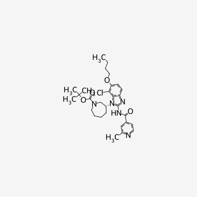 CCCCOc1ccc2nc(NC(=O)c3ccnc(C)c3)n([C@@H]3CCCCN(C(=O)OC(C)(C)C)C3)c2c1Cl